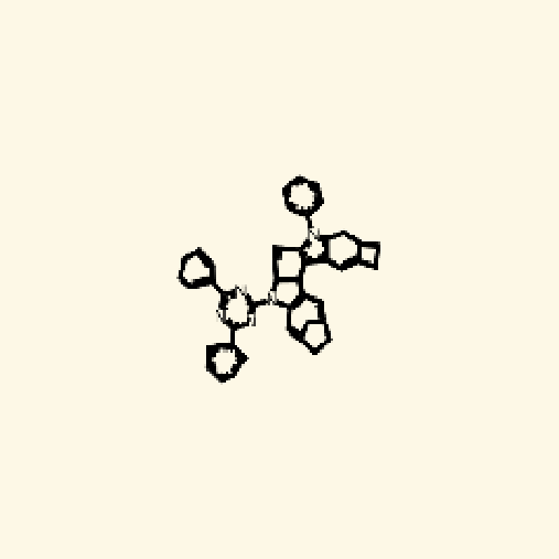 C1=CC(c2nc(-c3ccccc3)nc(N3C4=C(C=C5CCC(=C4)C5)C4c5c6c(n(-c7ccccc7)c5C=CC43)CC3CCC3=C6)n2)=CCC1